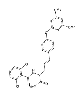 COC(=O)C(CC=Cc1ccc(Oc2nc(OC)cc(OC)n2)cc1)NC(=O)c1c(Cl)cccc1Cl